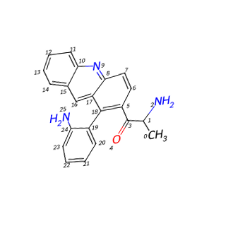 CC(N)C(=O)c1ccc2nc3ccccc3cc2c1-c1ccccc1N